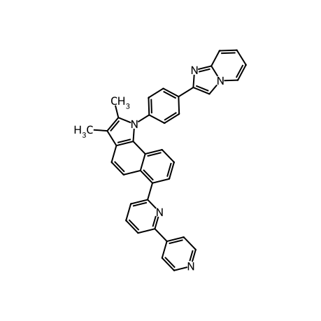 Cc1c(C)n(-c2ccc(-c3cn4ccccc4n3)cc2)c2c1ccc1c(-c3cccc(-c4ccncc4)n3)cccc12